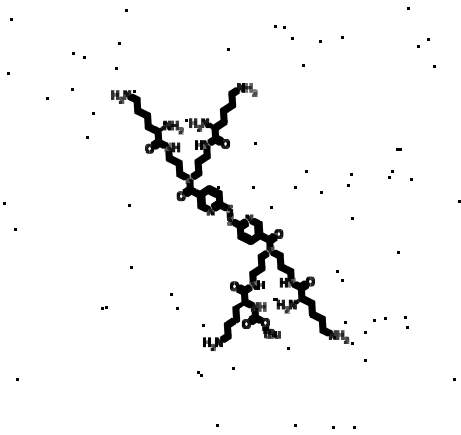 CC(C)(C)OC(=O)N[C@@H](CCCCN)C(=O)NCCCN(CCCNC(=O)[C@@H](N)CCCCN)C(=O)c1ccc(SSc2ccc(C(=O)N(CCCNC(=O)[C@@H](N)CCCCN)CCCNC(=O)[C@@H](N)CCCCN)cn2)nc1